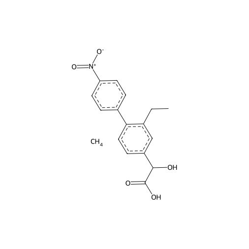 C.CCc1cc(C(O)C(=O)O)ccc1-c1ccc([N+](=O)[O-])cc1